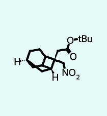 CC(C)(C)OC(=O)C[C@]1(C[N+](=O)[O-])C2CC[C@@H]3CC2[C@H]1C3